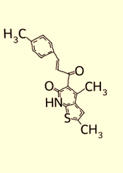 Cc1ccc(C=CC(=O)c2c(C)c3cc(C)sc3[nH]c2=O)cc1